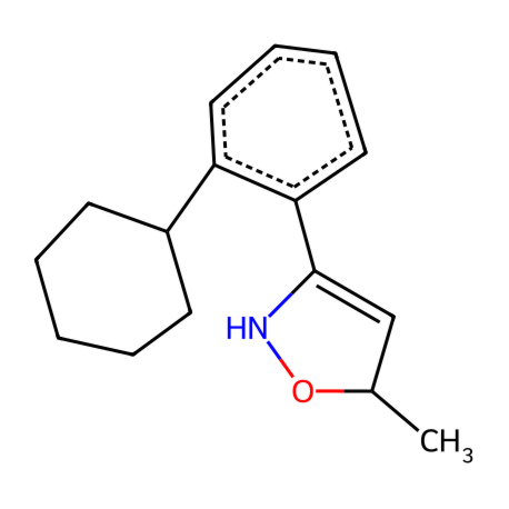 CC1C=C(c2ccccc2C2CCCCC2)NO1